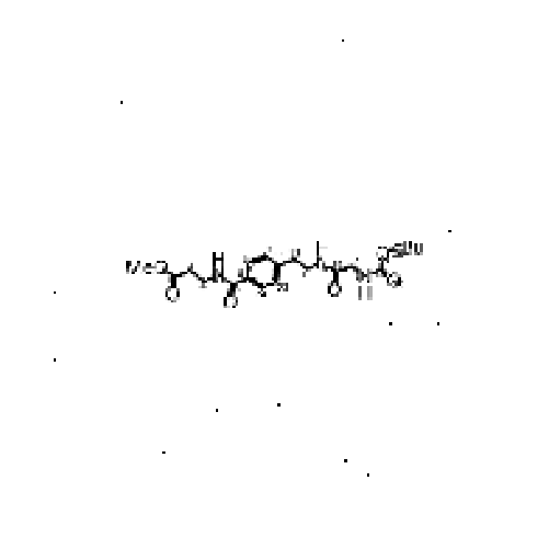 COC(=O)CCNC(=O)c1ccc(CCNC(=O)CNC(=O)OC(C)(C)C)cc1